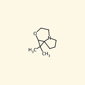 CC1(C)C2OCCN3CCCC231